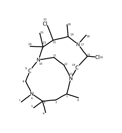 CC1CC(C)(C)N(C)CCN2CCN1CC(Cl)N(C)C(C)C(Cl)C2(C)C